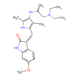 C=C(CN(CC)CC)Nc1c(C)[nH]c(/C=C2\C(=O)Nc3cc(OC)ccc32)c1C